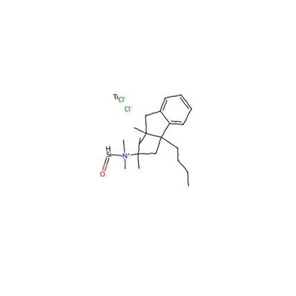 CCCCC1(CC(C)(C)[N+](C)(C)[SiH]=O)c2ccccc2CC1(C)C.[Cl-].[Cl-].[Ti]